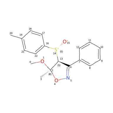 CO[C@]1(C)ON=C(c2ccccc2)[C@@H]1[S@@+]([O-])c1ccc(C)cc1